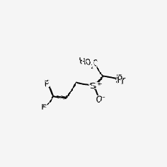 CC(C)C(C(=O)O)[S+]([O-])CCC(F)F